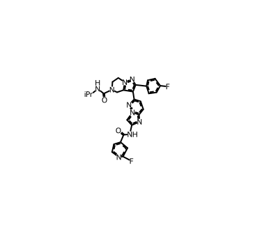 CC(C)NC(=O)N1CCn2nc(-c3ccc(F)cc3)c(-c3ccc4nc(NC(=O)c5ccnc(F)c5)cn4n3)c2C1